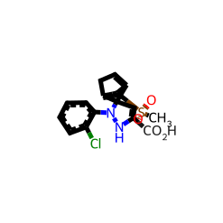 CS(=O)(=O)C1=C=C2CC=C1C21C=C(C(=O)O)NN1c1ccccc1Cl